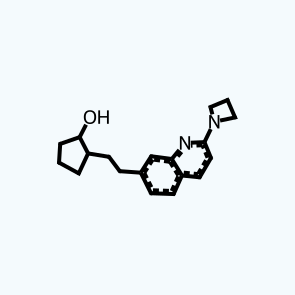 OC1CCCC1CCc1ccc2ccc(N3CCC3)nc2c1